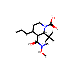 CCCC1CCN(C(=O)O)C(C(C)(C)C)C1C(=O)N(C)OC